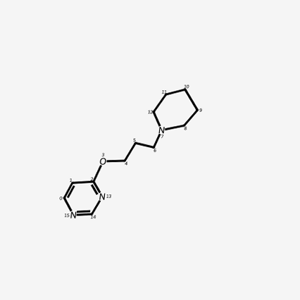 c1cc(OCCCN2CCCCC2)ncn1